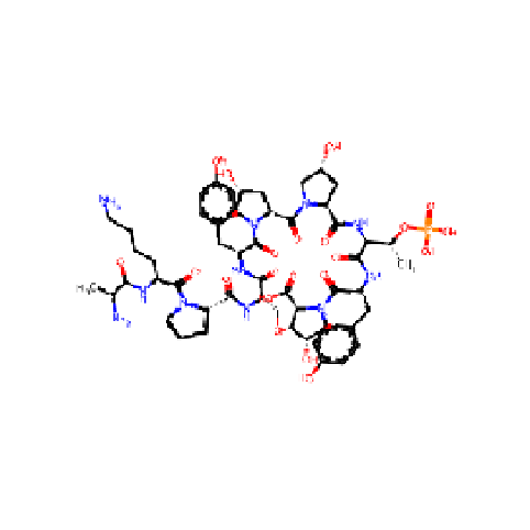 C[C@H](N)C(=O)N[C@@H](CCCCN)C(=O)N1CCC[C@H]1C(=O)N[C@@H](CO)C(=O)N[C@@H](Cc1ccc(O)cc1)C(=O)N1C[C@H](O)C[C@H]1C(=O)N1C[C@H](O)C[C@H]1C(=O)N[C@H](C(=O)N[C@@H](Cc1ccc(O)cc1)C(=O)N1C[C@H](O)C[C@H]1C(=O)O)[C@@H](C)OP(=O)(O)O